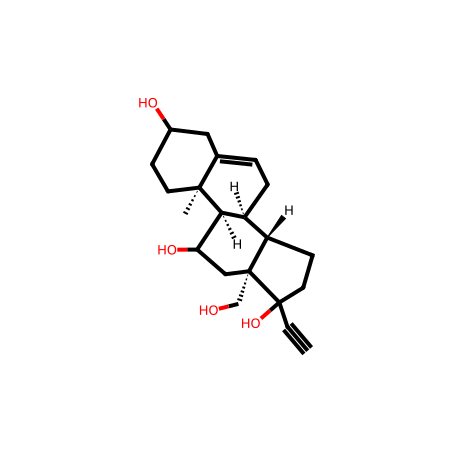 C#CC1(O)CC[C@H]2[C@@H]3CC=C4CC(O)CC[C@]4(C)[C@@H]3C(O)C[C@@]21CO